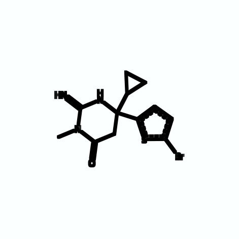 CN1C(=N)NC(c2ccc(Br)s2)(C2CC2)CC1=O